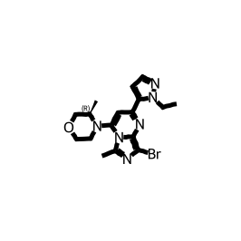 CCn1nccc1-c1cc(N2CCOC[C@H]2C)n2c(C)nc(Br)c2n1